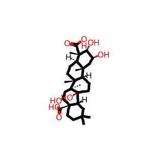 CC1(C)CC[C@]2(C(=O)O)[C@H](O)C[C@@]3(C)[C@]4(C)CC[C@@H]5[C@](C)(C[C@H](O)[C@H](O)[C@@]5(C)C(=O)O)[C@H]4CC[C@]3(O)[C@@H]2C1